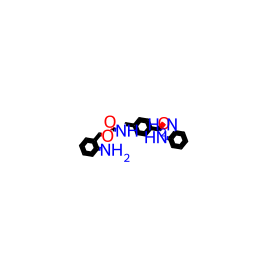 Nc1ccccc1COC(=O)NCc1ccc(C(=O)Nc2ccccc2N)cc1